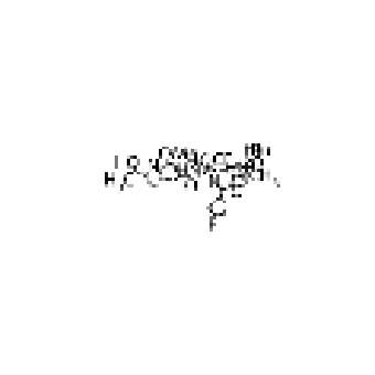 COc1cc(C(=O)NC[C@@](O)(c2cc3c(c(-c4ccc(F)cc4)n2)OC[C@@]3(C)N[S+]([O-])C(C)(C)C)C(F)(F)F)cc2ccc(C(C)O)nc12